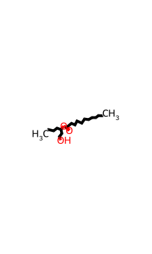 CCCCCCCCCCCC(=O)OC(CCO)CCCC